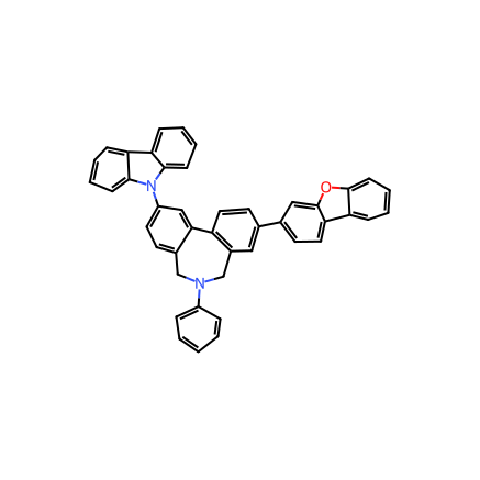 c1ccc(N2Cc3cc(-c4ccc5c(c4)oc4ccccc45)ccc3-c3cc(-n4c5ccccc5c5ccccc54)ccc3C2)cc1